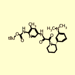 Cc1cc(NC(=O)C(=O)N2CCCC[C@H]2c2cccc(N(C)C)c2)cnc1NC(=O)OC(C)(C)C